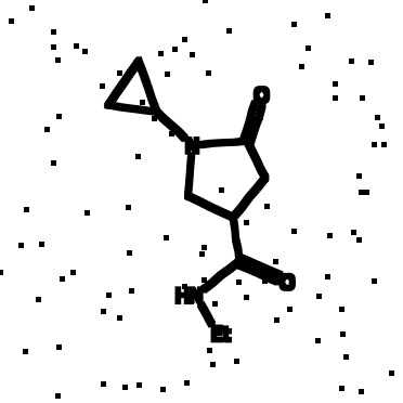 CCNC(=O)C1CC(=O)N(C2CC2)C1